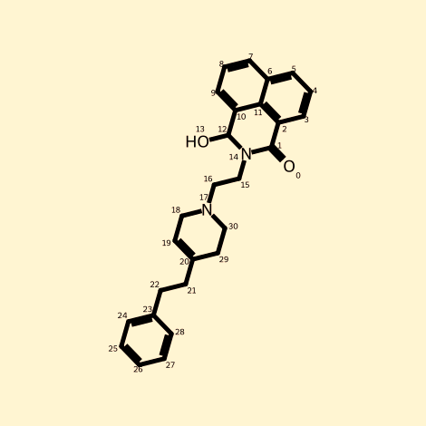 O=C1c2cccc3cccc(c23)C(O)N1CCN1CC=C(CCc2ccccc2)CC1